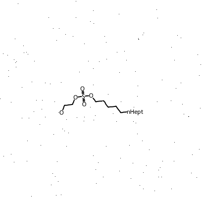 CCCCCCCCCCCCOS(=O)(=O)OCC[O]